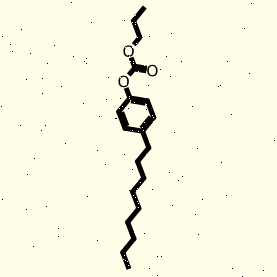 CCCCCCCCCc1ccc(OC(=O)OCCC)cc1